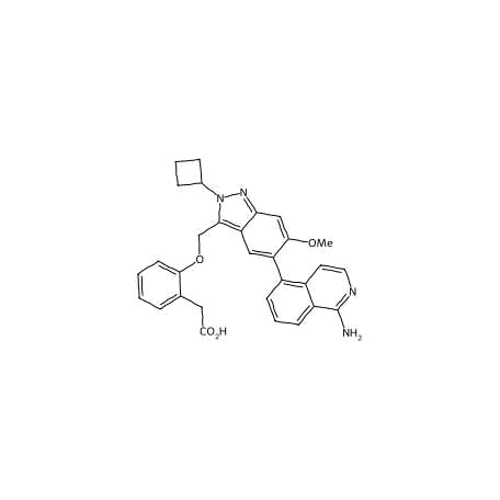 COc1cc2nn(C3CCC3)c(COc3ccccc3CC(=O)O)c2cc1-c1cccc2c(N)nccc12